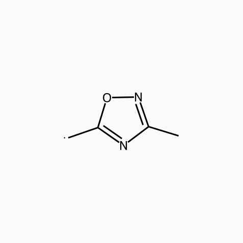 [CH2]c1nc(C)no1